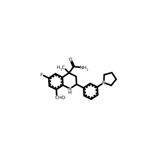 CC1(C(N)=O)CC(c2cccc(N3CCCC3)c2)Nc2c([C]=O)cc(F)cc21